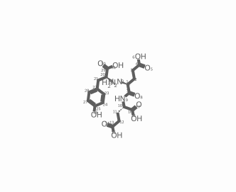 N[C@@H](CCC(=O)O)C(=O)N[C@@H](CCC(=O)O)C(=O)O.N[C@@H](Cc1ccc(O)cc1)C(=O)O